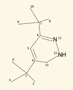 CC(C)(C)C1=CC(C(C)(C)C)=NNC1